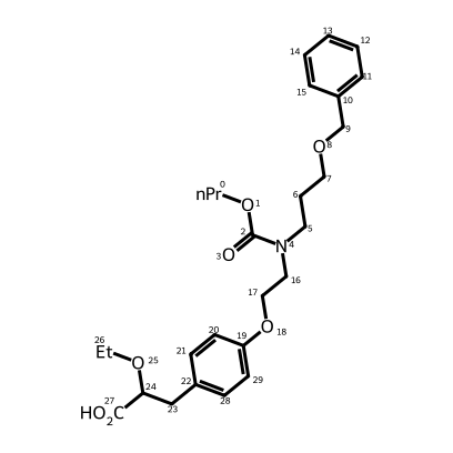 CCCOC(=O)N(CCCOCc1ccccc1)CCOc1ccc(CC(OCC)C(=O)O)cc1